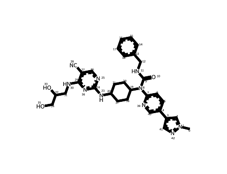 Cn1cc(-c2ccc(N(C(=O)NCc3ccccc3)C3CCC(Nc4ncc(C#N)c(NCC(O)CO)n4)CC3)nc2)cn1